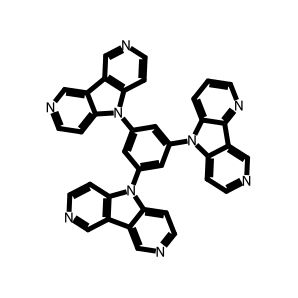 c1cnc2c3cnccc3n(-c3cc(-n4c5ccncc5c5cnccc54)cc(-n4c5ccncc5c5cnccc54)c3)c2c1